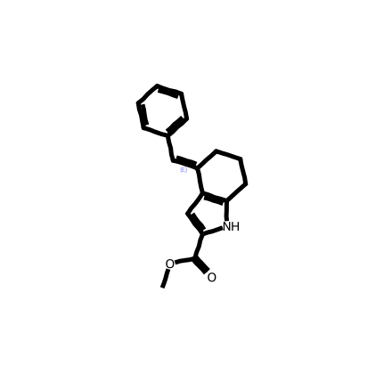 COC(=O)c1cc2c([nH]1)CCC/C2=C\c1ccccc1